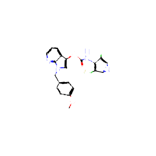 COc1ccc(Cn2cc(OC(=O)Nc3c(Cl)cncc3Cl)c3cccnc32)cc1